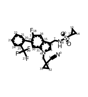 N#CC1(Cn2cc(CNS(=O)(=O)C3CC3)c3cc(F)c(-c4ccccc4C(F)(F)F)cc32)CC1